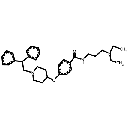 CCN(CC)CCCNC(=O)c1ccc(OC2CCN(CC(c3ccccc3)c3ccccc3)CC2)cc1